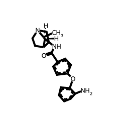 C[C@H]1[C@H](NC(=O)c2ccc(Oc3ccccc3N)cc2)C2CCN1CC2